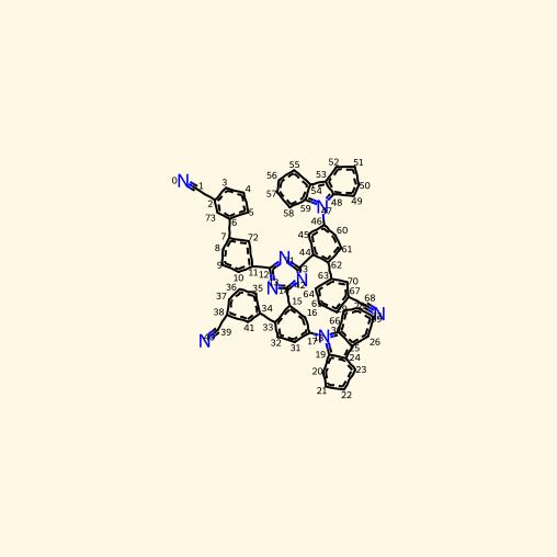 N#Cc1cccc(-c2cccc(-c3nc(-c4cc(-n5c6ccccc6c6ccccc65)ccc4-c4cccc(C#N)c4)nc(-c4cc(-n5c6ccccc6c6ccccc65)ccc4-c4cccc(C#N)c4)n3)c2)c1